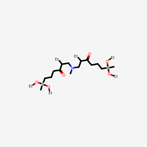 CCO[Si](C)(CCCC(=O)C(CC)CN(C)CC(CC)C(=O)CCC[Si](C)(OCC)OCC)OCC